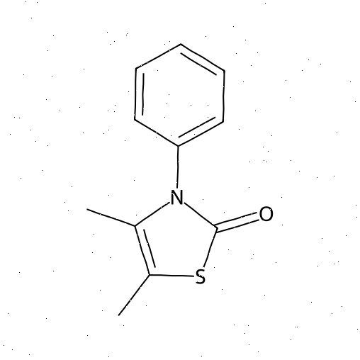 Cc1sc(=O)n(-c2ccccc2)c1C